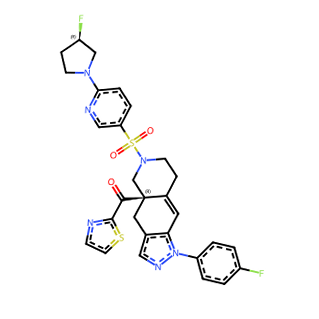 O=C(c1nccs1)[C@]12Cc3cnn(-c4ccc(F)cc4)c3C=C1CCN(S(=O)(=O)c1ccc(N3CC[C@@H](F)C3)nc1)C2